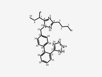 CCCCc1nc(C(C)CC)n(Cc2ccc(-c3ccccc3-c3nnn[nH]3)cc2)n1